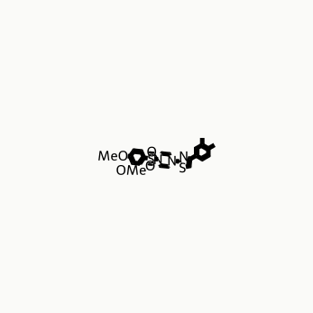 COc1ccc(S(=O)(=O)N2CCN(c3nc(-c4ccc(C)c(C)c4)cs3)CC2)c(OC)c1